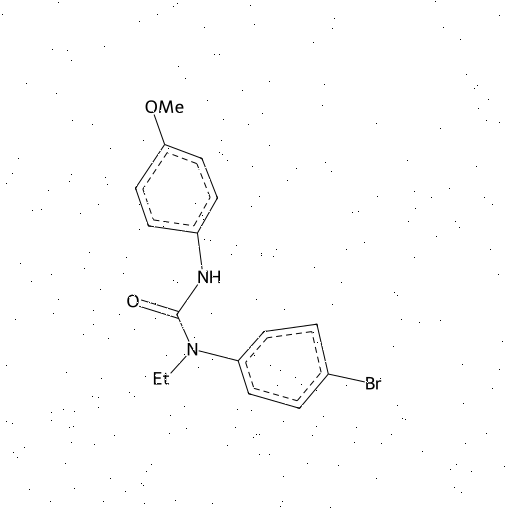 CCN(C(=O)Nc1ccc(OC)cc1)c1ccc(Br)cc1